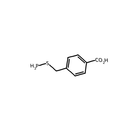 O=C(O)c1ccc(CSP)cc1